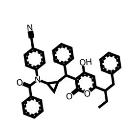 CCC(Cc1ccccc1)c1cc(O)c(C(c2ccccc2)C2CC2N(C(=O)c2ccccc2)c2ccc(C#N)cc2)c(=O)o1